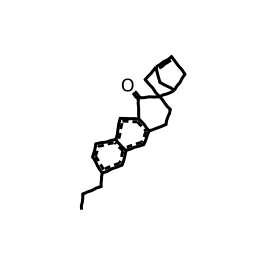 CCCc1ccc2cc3c(cc2c1)CCC1(CC2=CCC1C2)C3=O